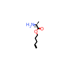 C=CCCCOC(=O)[C@H](C)N